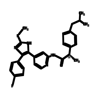 CSc1nc(-c2ccc(F)cc2)c(-c2ccnc(NC(=O)[C@@H](C)c3ccc(CC(C)C)cc3)c2)[nH]1